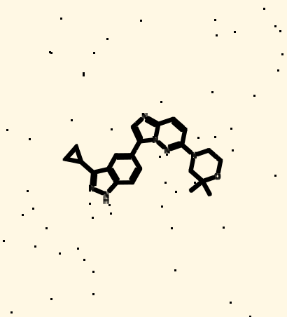 CC1(C)CN(c2ccc3ncc(-c4ccc5[nH]nc(C6CC6)c5c4)n3n2)CCO1